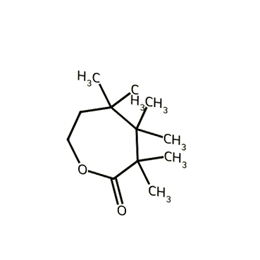 CC1(C)CCOC(=O)C(C)(C)C1(C)C